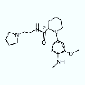 CNc1ccc(N2CCCC[C@@H]2C(=O)NCCN2CCCC2)cc1OC